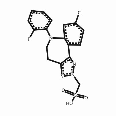 O=S(=O)(O)Cn1nc2c(n1)-c1ccc(Cl)cc1N(c1ccccc1F)CC2